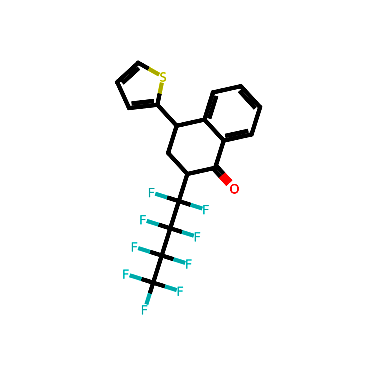 O=C1c2ccccc2C(c2cccs2)CC1C(F)(F)C(F)(F)C(F)(F)C(F)(F)F